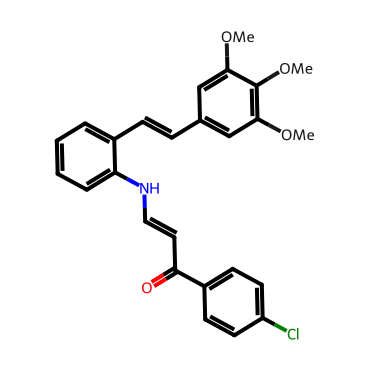 COc1cc(C=Cc2ccccc2NC=CC(=O)c2ccc(Cl)cc2)cc(OC)c1OC